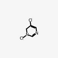 ClC1=CN=CN(Cl)C1